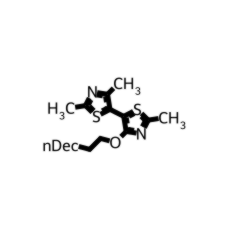 CCCCCCCCCCCCOc1nc(C)sc1-c1sc(C)nc1C